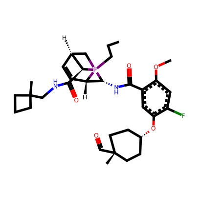 CCCP123C[C@H](C=C[C@H]1[C@H]2NC(=O)c1cc(O[C@H]2CC[C@@](C)(C=O)CC2)c(F)cc1OC)[C@@H]3C(=O)NCC1(C)CCC1